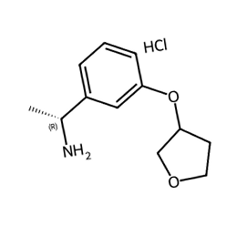 C[C@@H](N)c1cccc(OC2CCOC2)c1.Cl